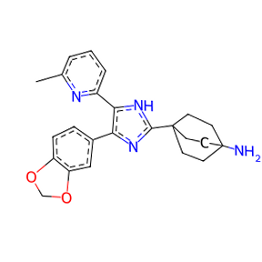 Cc1cccc(-c2[nH]c(C34CCC(N)(CC3)CC4)nc2-c2ccc3c(c2)OCO3)n1